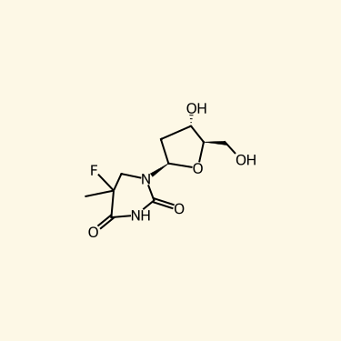 CC1(F)CN([C@H]2C[C@H](O)[C@@H](CO)O2)C(=O)NC1=O